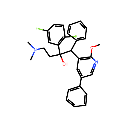 COc1ncc(-c2ccccc2)cc1C(c1ccccc1)C(O)(CCN(C)C)c1cc(F)ccc1F